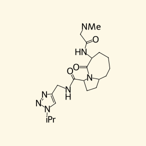 CNCC(=O)NC1CCCCC2CCC(C(=O)NCc3cn(C(C)C)nn3)N2C1=O